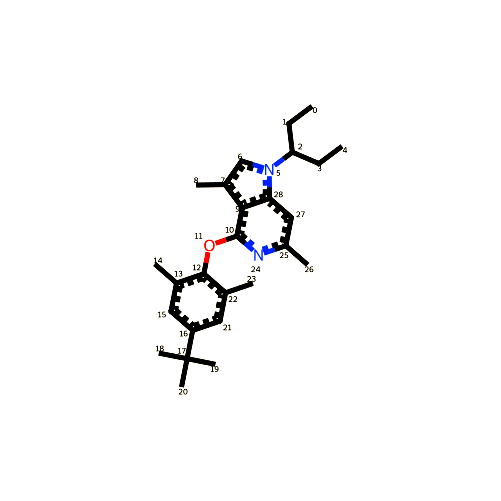 CCC(CC)n1cc(C)c2c(Oc3c(C)cc(C(C)(C)C)cc3C)nc(C)cc21